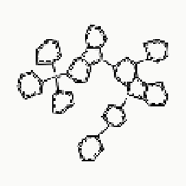 c1ccc(-c2ccc(-n3c4ccccc4c4c(-c5ccccc5)cc(-n5c6ccccc6c6cc([Si](c7ccccc7)(c7ccccc7)c7ccccc7)ccc65)cc43)cc2)cc1